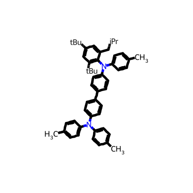 Cc1ccc(N(c2ccc(C)cc2)c2ccc(-c3ccc(N(c4ccc(C)cc4)c4c(CC(C)C)cc(C(C)(C)C)cc4C(C)(C)C)cc3)cc2)cc1